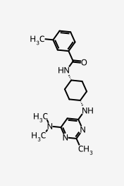 Cc1cccc(C(=O)N[C@H]2CC[C@@H](Nc3cc(N(C)C)nc(C)n3)CC2)c1